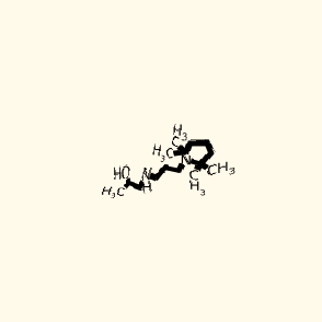 CC(O)CNCCCN1C(C)(C)CCCC1(C)C